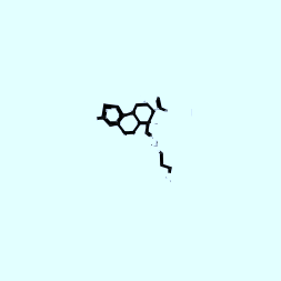 CC(C)c1ccc2c(c1)C(=O)[C@H](O)C1[C@@](C)(/C=N/OCCCN)CCC[C@]21C.O=C(O)/C=C/C(=O)O